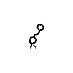 [CH2]CCc1ccc(C=Cc2ccccc2)cc1